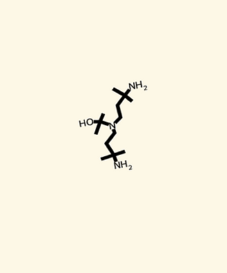 CC(C)(N)CCN(CCC(C)(C)N)C(C)(C)O